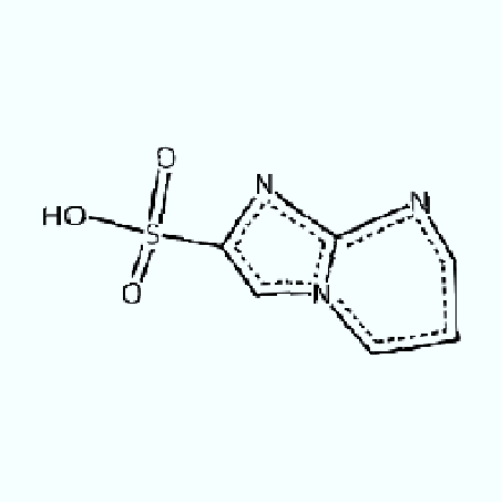 O=S(=O)(O)c1cn2cccnc2n1